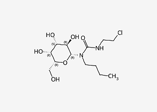 CCCCN(C(=O)NCCCl)[C@@H]1O[C@H](CO)[C@H](O)[C@H](O)[C@H]1O